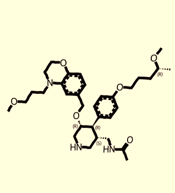 COCCCN1CCOc2ccc(CO[C@H]3CNC[C@@H](CNC(C)=O)[C@@H]3c3ccc(OCCC[C@@H](C)OC)cc3)cc21